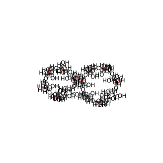 OC[C@H]1O[C@@H]2O[C@H]3[C@H](O)[C@@H](O)[C@@H](O[C@H]4[C@H](O)[C@@H](O)[C@@H](O[C@H]5[C@H](O)[C@@H](O)[C@@H](O[C@H]6[C@H](O)[C@@H](O)[C@@H](O[C@H]7[C@H](O)[C@@H](O)[C@@H](O[C@H]1[C@H](O)[C@H]2O)O[C@@H]7CO)O[C@@H]6CO)O[C@@H]5CO)O[C@@H]4CO)O[C@@H]3CO.OC[C@H]1O[C@@H]2O[C@H]3[C@H](O)[C@@H](O)[C@@H](O[C@H]4[C@H](O)[C@@H](O)[C@@H](O[C@H]5[C@H](O)[C@@H](O)[C@@H](O[C@H]6[C@H](O)[C@@H](O)[C@@H](O[C@H]7[C@H](O)[C@@H](O)[C@@H](O[C@H]8[C@H](O)[C@@H](O)[C@@H](O[C@H]1[C@H](O)[C@H]2O)O[C@@H]8CO)O[C@@H]7CO)O[C@@H]6CO)O[C@@H]5CO)O[C@@H]4CO)O[C@@H]3CO